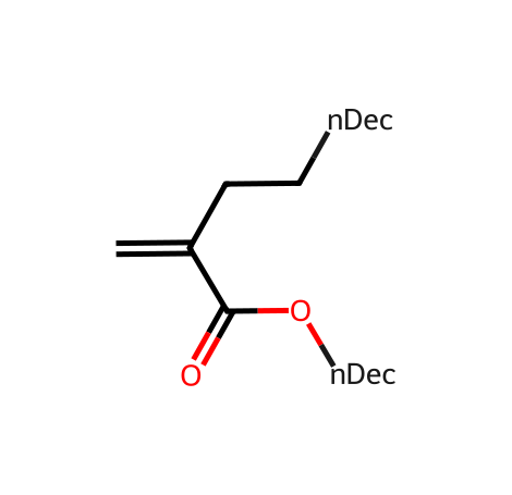 C=C(CCCCCCCCCCCC)C(=O)OCCCCCCCCCC